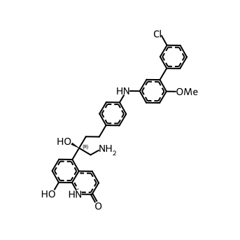 COc1ccc(Nc2ccc(CC[C@](O)(CN)c3ccc(O)c4[nH]c(=O)ccc34)cc2)cc1-c1cccc(Cl)c1